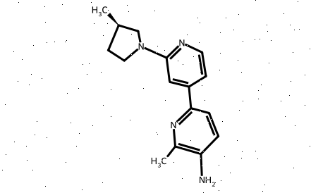 Cc1nc(-c2ccnc(N3CC[C@@H](C)C3)c2)ccc1N